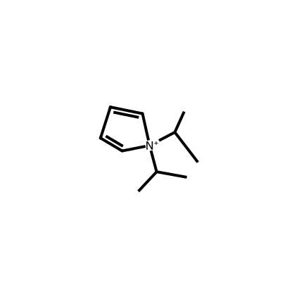 CC(C)[N+]1(C(C)C)C=CC=C1